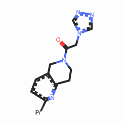 CC(C)c1ccc2c(n1)CCN(C(=O)Cn1cnnc1)C2